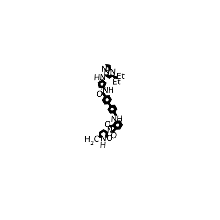 C=C1CCC(N2C(=O)c3cccc(NCc4ccc(-c5ccc(C(=O)N[C@H]6CC[C@H](Nc7cc(C(CC)CC)nc8ccnn78)C6)cc5)cc4)c3C2=O)C(=O)N1